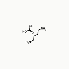 NCCCCN.O=C(O)O